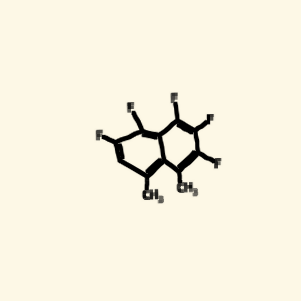 Cc1cc(F)c(F)c2c(F)c(F)c(F)c(C)c12